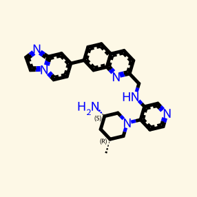 C[C@@H]1C[C@H](N)CN(c2ccncc2NCc2ccc3ccc(-c4ccn5ccnc5c4)cc3n2)C1